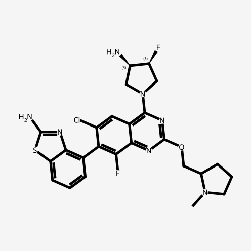 CN1CCCC1COc1nc(N2C[C@@H](N)[C@@H](F)C2)c2cc(Cl)c(-c3cccc4sc(N)nc34)c(F)c2n1